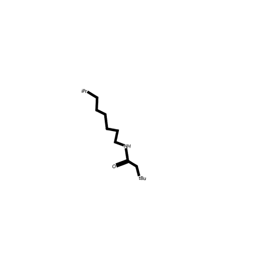 CC(C)CCCCCCNC(=O)CC(C)(C)C